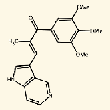 COc1cc(C(=O)/C(C)=C/c2c[nH]c3ccncc23)cc(OC)c1OC